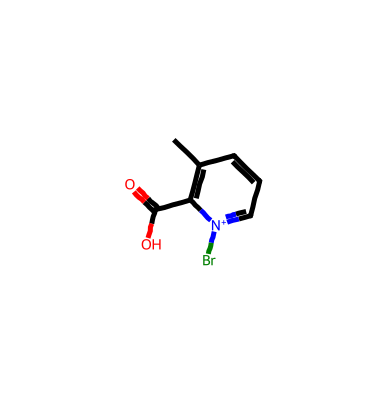 Cc1ccc[n+](Br)c1C(=O)O